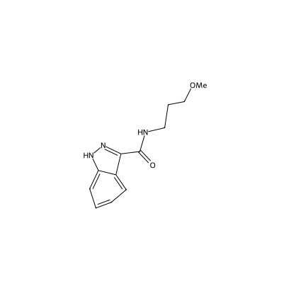 COCCCNC(=O)c1n[nH]c2ccccc12